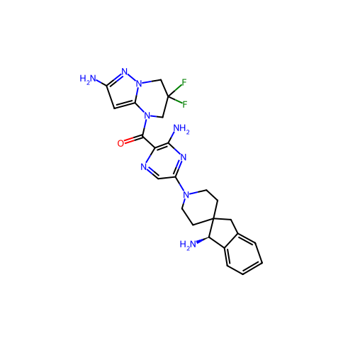 Nc1cc2n(n1)CC(F)(F)CN2C(=O)c1ncc(N2CCC3(CC2)Cc2ccccc2[C@H]3N)nc1N